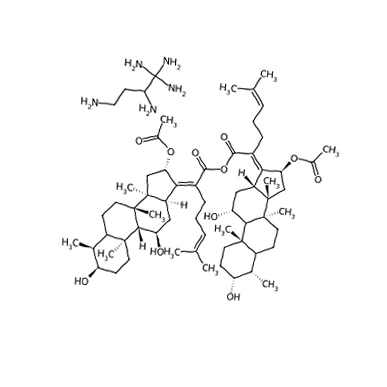 CC(=O)O[C@H]1C[C@@]2(C)[C@H](C[C@@H](O)C3[C@@]4(C)CC[C@@H](O)[C@@H](C)C4CC[C@@]32C)C1=C(CCC=C(C)C)C(=O)OC(=O)C(CCC=C(C)C)=C1[C@@H](OC(C)=O)C[C@@]2(C)[C@@H]1C[C@@H](O)[C@@H]1[C@@]3(C)CC[C@@H](O)[C@@H](C)C3CC[C@@]12C.NCCC(N)C(N)(N)N